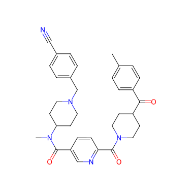 Cc1ccc(C(=O)C2CCN(C(=O)c3ccc(C(=O)N(C)C4CCN(Cc5ccc(C#N)cc5)CC4)cn3)CC2)cc1